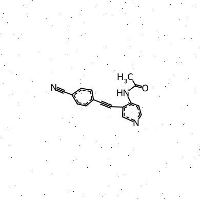 CC(=O)Nc1ccncc1C#Cc1ccc(C#N)cc1